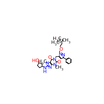 Cn1c(NC2CCC(O)C2)nc2c1c(=O)n(Cc1cc(-c3ccccc3)nn1COCC[Si](C)(C)C)c(=O)n2C